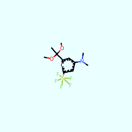 COC(C)(OC)c1cc(N(C)C)cc(S(F)(F)(F)(F)F)c1